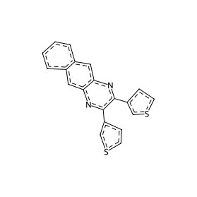 c1ccc2cc3nc(-c4ccsc4)c(-c4ccsc4)nc3cc2c1